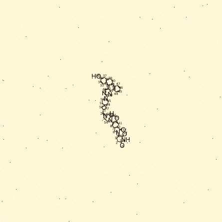 O=C1CC[C@H](N2Cc3cc4c(cc3C2=O)OC[C@@H]2CN(CC3CC5(CCN(c6ncc([C@H]7c8ccc(O)cc8CC[C@H]7c7ccccc7)cn6)CC5)C3)CCN42)C(=O)N1